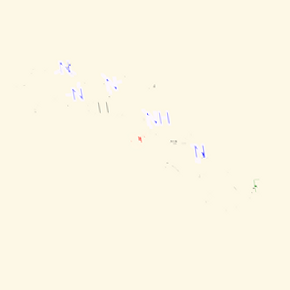 Cn1c(CN2CCC(NC(=O)c3ccc(-c4cccc(F)c4)nc3)CC2)nc2ccccc21